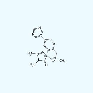 CN1C(=O)[C@]2(N=C1N)c1cc(-c3cncnc3)ccc1C[C@@]1(C)CC12